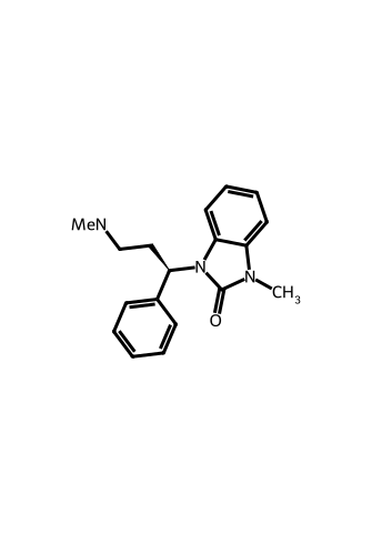 CNCC[C@H](c1ccccc1)n1c(=O)n(C)c2ccccc21